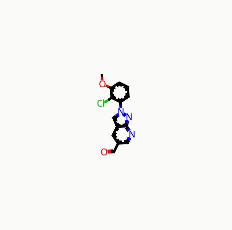 COc1cccc(-n2cc3cc(C=O)cnc3n2)c1Cl